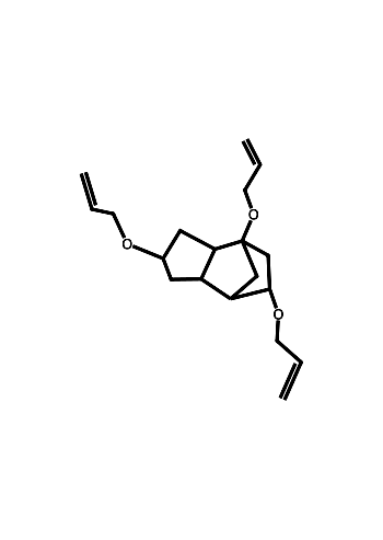 C=CCOC1CC2C3CC(OCC=C)(CC3OCC=C)C2C1